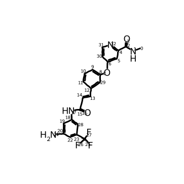 CNC(=O)c1cc(Oc2cccc(/C=C/C(=O)Nc3cc(N)cc(C(F)(F)F)c3)c2)ccn1